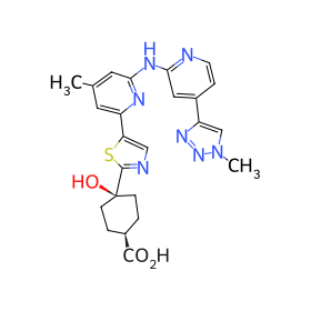 Cc1cc(Nc2cc(-c3cn(C)nn3)ccn2)nc(-c2cnc([C@]3(O)CC[C@@H](C(=O)O)CC3)s2)c1